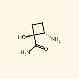 NC(=O)[C@]1(O)CC[C@@H]1N